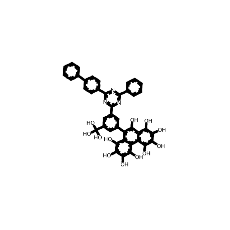 Oc1c(O)c(O)c2c(c1O)c(O)c(-c1cc(-c3nc(-c4ccccc4)nc(-c4ccc(-c5ccccc5)cc4)n3)cc(C(O)(O)O)c1)c1c(O)c(O)c(O)c(O)c12